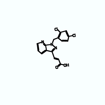 O=C(O)C=Cc1nn(Cc2ccc(Cl)cc2Cl)c2ncccc12